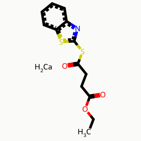 CCOC(=O)CCC(=O)Sc1nc2ccccc2s1.[CaH2]